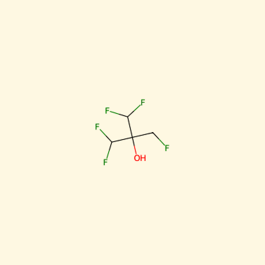 OC(CF)(C(F)F)C(F)F